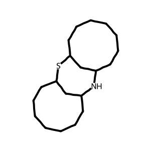 C1CCCC2CC(CCC1)SC1CCCCCCCC(C1)N2